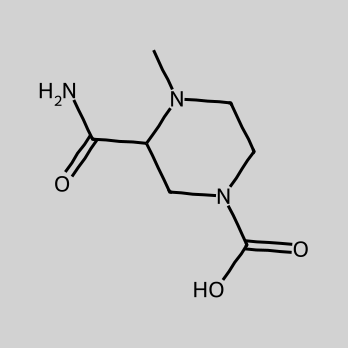 CN1CCN(C(=O)O)CC1C(N)=O